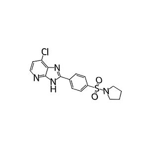 O=S(=O)(c1ccc(-c2nc3c(Cl)ccnc3[nH]2)cc1)N1CCCC1